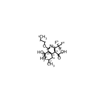 CCCOc1nc(C(F)(F)F)c(C(=O)O)c(CC(C)C)c1C(=O)O